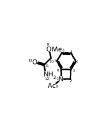 CC(=O)N1Cc2ccccc21.COCC(N)=O